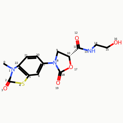 Cn1c(=O)sc2cc(N3C[C@H](C(=O)NCCO)OC3=O)ccc21